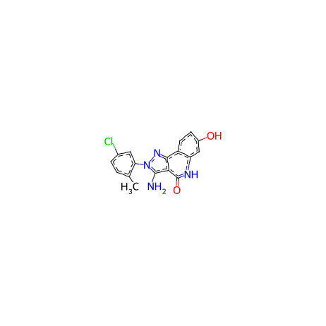 Cc1ccc(Cl)cc1-n1nc2c(c1N)c(=O)[nH]c1cc(O)ccc12